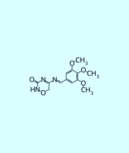 COc1cc(/C=N/C2=NC(=O)NOC2)cc(OC)c1OC